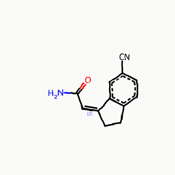 N#Cc1ccc2c(c1)/C(=C\C(N)=O)CC2